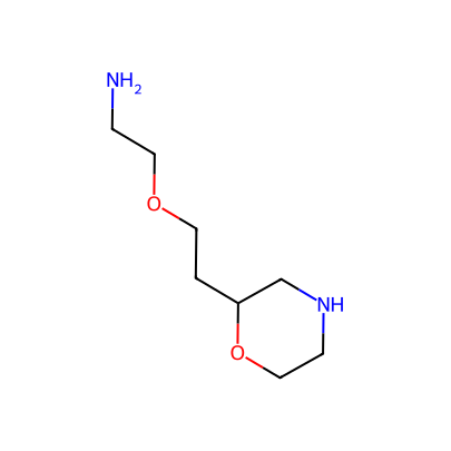 NCCOCCC1CNCCO1